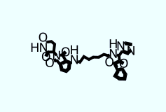 O=C1CCC(N2C(=O)c3cccc(NCCCCCCC(=O)NC(c4cnccn4)c4cc5ccccc5o4)c3C2=O)C(=O)N1